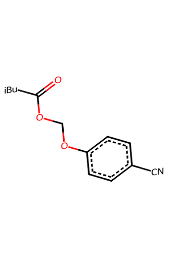 CCC(C)C(=O)OCOc1ccc(C#N)cc1